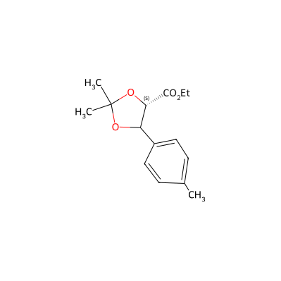 CCOC(=O)[C@H]1OC(C)(C)OC1c1ccc(C)cc1